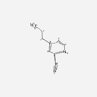 CCCc1ccnc(C#N)c1